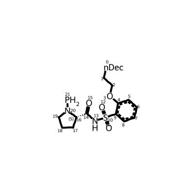 CCCCCCCCCCCCOc1ccccc1S(=O)(=O)NC(=O)[C@@H]1CCCN1P